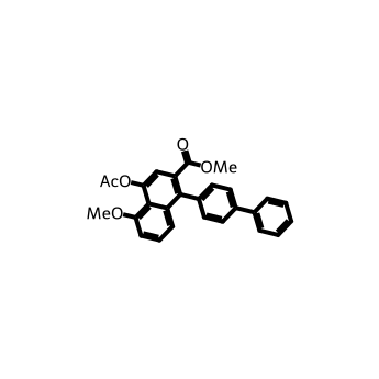 COC(=O)c1cc(OC(C)=O)c2c(OC)cccc2c1-c1ccc(-c2ccccc2)cc1